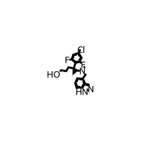 CN(Cc1cccc2[nH]ncc12)C1CC1(CCCO)c1c(F)cc(Cl)cc1F